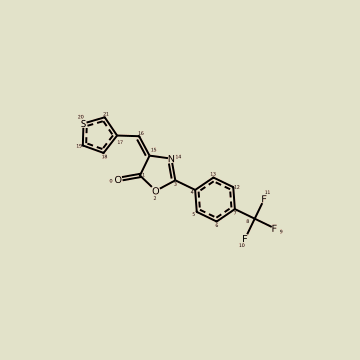 O=C1OC(c2ccc(C(F)(F)F)cc2)=N/C1=C/c1ccsc1